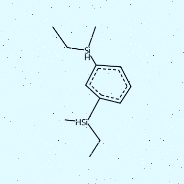 CC[SiH](C)c1cccc([SiH](C)CC)c1